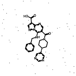 O=C(O)c1cnn2c(NCc3ccccc3)c(C(=O)N3CCC(c4cncnc4)CC3)cnc12